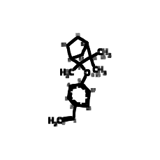 C=Cc1ccc(OC2(C)C3CCC(C3)C2(C)C)cc1